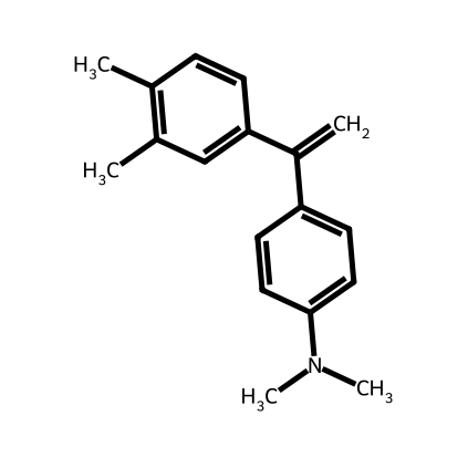 C=C(c1ccc(N(C)C)cc1)c1ccc(C)c(C)c1